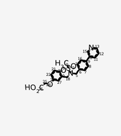 CS(=O)(=O)N(Cc1ccc(-c2cccnc2)cc1)Cc1cccc(OCC(=O)O)c1